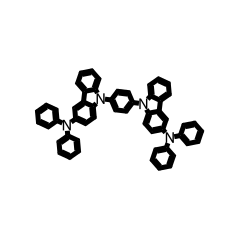 c1ccc(N(c2ccccc2)c2ccc3c(c2)c2ccccc2n3-c2ccc(-n3c4ccccc4c4cc(N(c5ccccc5)c5ccccc5)ccc43)cc2)cc1